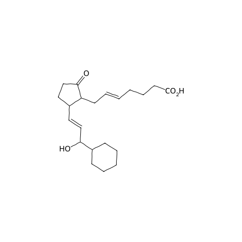 O=C(O)CCCC=CCC1C(=O)CCC1C=CC(O)C1CCCCC1